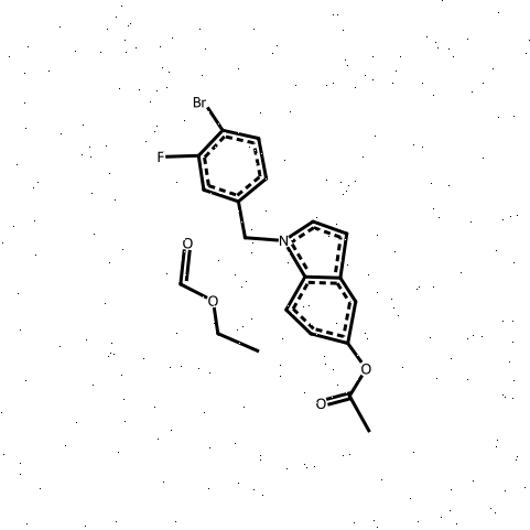 CC(=O)Oc1ccc2c(ccn2Cc2ccc(Br)c(F)c2)c1.CCOC=O